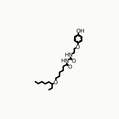 CCCCCC(CC)OCCCCCC(=O)NC(=O)NCCOc1ccc(O)cc1